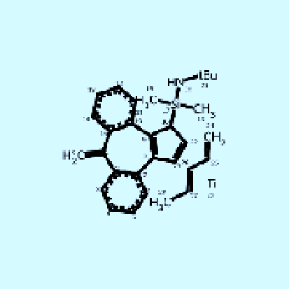 C=C1c2ccccc2C2=C(c3ccccc31)C([Si](C)(C)NC(C)(C)C)C=C2.C=CC=CC.[Ti]